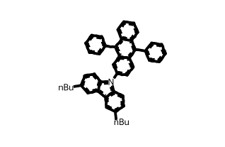 CCCCc1ccc2c(c1)c1cc(CCCC)ccc1n2-c1ccc2c(-c3ccccc3)c3ccccc3c(-c3ccccc3)c2c1